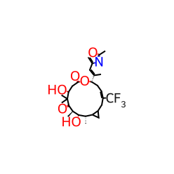 C/C(=C\c1coc(C)n1)[C@@H]1C/C=C(/C(F)(F)F)CC2CC2[C@H](C)[C@H](O)[C@@H](C)C(=O)C(C)(C)[C@@H](O)CC(=O)O1